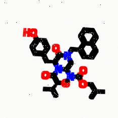 CC(C)COC(=O)N1O[C@H](C(C)C)C(=O)N2C1CN(Cc1cccc3ccccc13)C(=O)[C@@H]2Cc1ccc(O)cc1